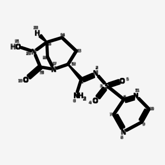 NC(=NS(=O)(=O)c1cnccn1)[C@@H]1CC[C@@H]2CN1C(=O)N2O